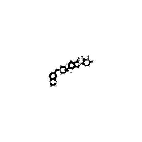 O=C1CCC(N2Cc3cc(C4(F)CCN(Cc5ccc6nccnc6c5)CC4)ccc3C2=O)C(=O)N1